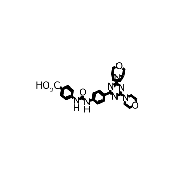 O=C(Nc1ccc(C(=O)O)cc1)Nc1ccc(-c2nc(N3CCOCC3)nc(N3C4CCC3COC4)n2)cc1